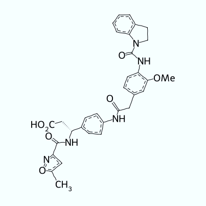 COc1cc(CC(=O)Nc2ccc([C@@H](CC(=O)O)NC(=O)c3cc(C)on3)cc2)ccc1NC(=O)N1CCc2ccccc21